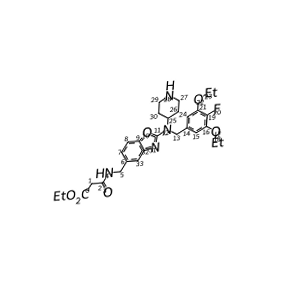 CCOC(=O)CC(=O)NCc1ccc2oc(N(Cc3cc(OCC)c(F)c(OCC)c3)C3CCNCC3)nc2c1